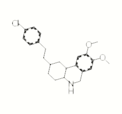 COc1cc2c(cc1OC)C1CC(CCc3ccc(Cl)cc3)CCC1NC2